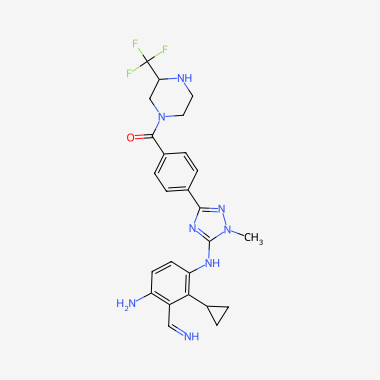 Cn1nc(-c2ccc(C(=O)N3CCNC(C(F)(F)F)C3)cc2)nc1Nc1ccc(N)c(C=N)c1C1CC1